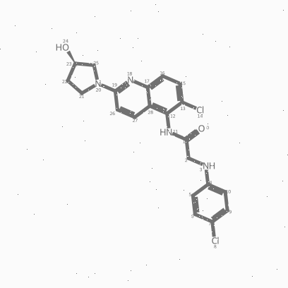 O=C(CNc1ccc(Cl)cc1)Nc1c(Cl)ccc2nc(N3CC[C@@H](O)C3)ccc12